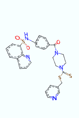 O=C(c1ccc(NS(=O)(=O)c2cccc3cccnc23)cc1)N1CCN(C(=S)SCc2cccnc2)CC1